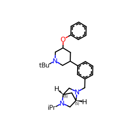 CC(C)N1C[C@@H]2C[C@H]1CN2Cc1cccc(C2CC(Oc3ccccc3)CN(C(C)(C)C)C2)c1